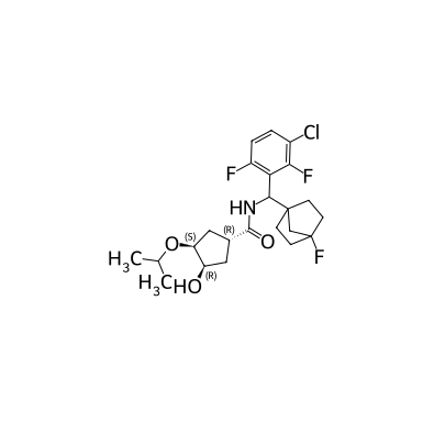 CC(C)O[C@H]1C[C@H](C(=O)NC(c2c(F)ccc(Cl)c2F)C23CCC(F)(CC2)C3)C[C@H]1O